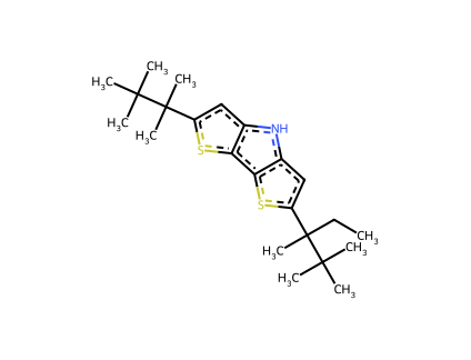 CCC(C)(c1cc2[nH]c3cc(C(C)(C)C(C)(C)C)sc3c2s1)C(C)(C)C